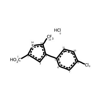 Cl.O=C(O)c1cc(-c2ccc(Cl)cc2)c(C(F)(F)F)s1